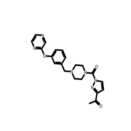 CC(=O)c1ccn(C(=O)N2CCN(Cc3cccc(Oc4cnccn4)c3)CC2)n1